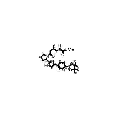 COC(=O)NCC(C)CC(=O)N1CCCC1c1nc(-c2ccc(B3OC(C)(C)C(C)(C)O3)cc2)c[nH]1